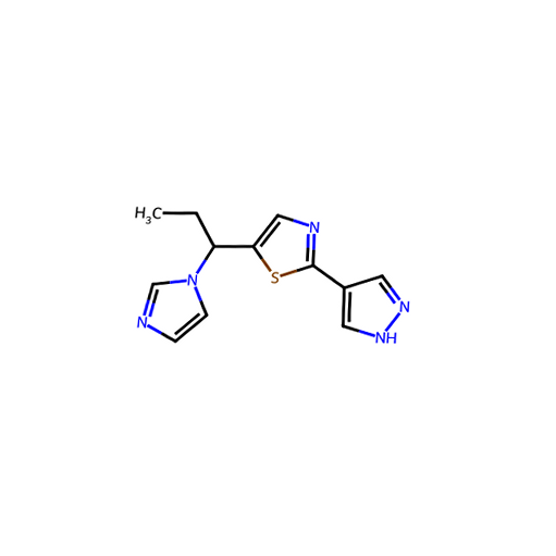 CCC(c1cnc(-c2cn[nH]c2)s1)n1ccnc1